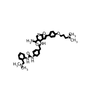 CN(C)CCCOc1ccc(-c2cc3c(NCCc4ccc(NC(=O)Nc5ccccc5CN(C)C)cc4)c(C(N)=O)cnc3o2)cc1